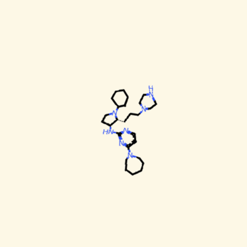 c1cc(N2CCCCCC2)nc(N[C@H]2CCN(C3CCCCC3)[C@@H]2CCCN2CCNCC2)n1